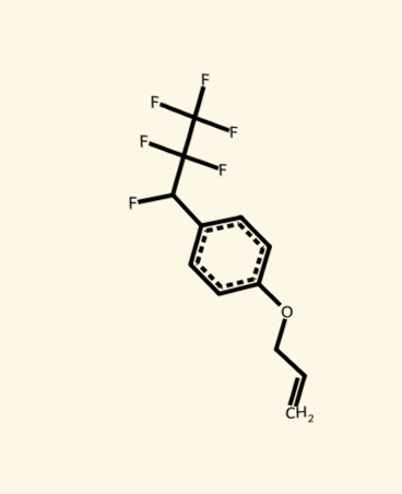 C=CCOc1ccc(C(F)C(F)(F)C(F)(F)F)cc1